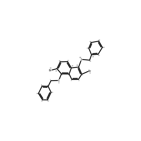 Brc1ccc2c(SCc3ccccc3)c(Br)ccc2c1SCc1ccccc1